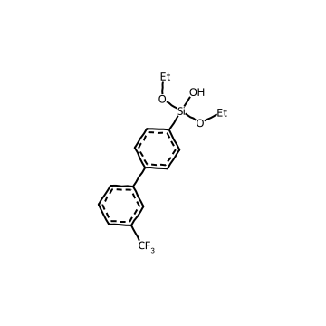 CCO[Si](O)(OCC)c1ccc(-c2cccc(C(F)(F)F)c2)cc1